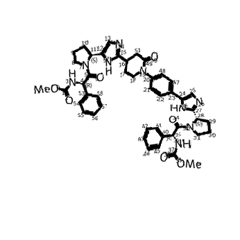 COC(=O)N[C@@H](C(=O)N1CCC[C@H]1c1cnc(C2CCN(c3ccc(-c4cnc([C@@H]5CCCN5C(=O)[C@H](NC(=O)OC)c5ccccc5)[nH]4)cc3)C(=O)C2)[nH]1)c1ccccc1